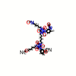 Cc1ccc(-n2c(=O)n(CCCCCCN=C=O)c(=O)n(CCCCCCn3c(=O)n(CCCCCCOC#N)c(=O)n(-c4ccc(C)c(OC#N)c4)c3=O)c2=O)cc1N=C=O